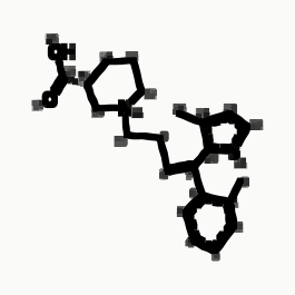 Cc1ccccc1C(=CCCN1CCC[C@@H](C(=O)O)C1)c1sccc1C